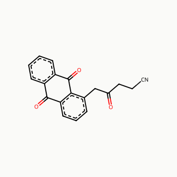 N#CCCC(=O)Cc1cccc2c1C(=O)c1ccccc1C2=O